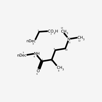 CCCCCCCCCCCC(=O)O.CCCCCCCCCCNC(=O)C(C)CCN(C)C